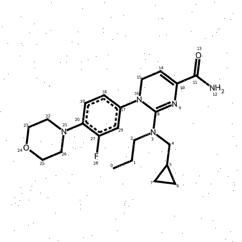 CCCN(CC1CC1)C1=NC(C(N)=O)=CCN1c1ccc(N2CCOCC2)c(F)c1